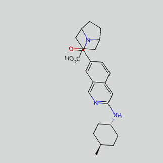 C[C@H]1CC[C@H](Nc2cc3ccc(C(=O)N4C5CCC4CC(C(=O)O)C5)cc3cn2)CC1